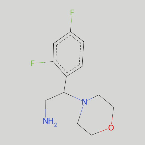 NCC(c1ccc(F)cc1F)N1CCOCC1